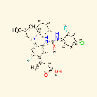 CC(C)CN(c1cc(F)c(C(C)CC(=O)O)cc1NC(=O)Nc1ccc(Cl)cc1F)C1CCCCC1